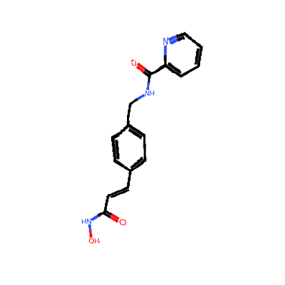 O=C(C=Cc1ccc(CNC(=O)c2ccccn2)cc1)NO